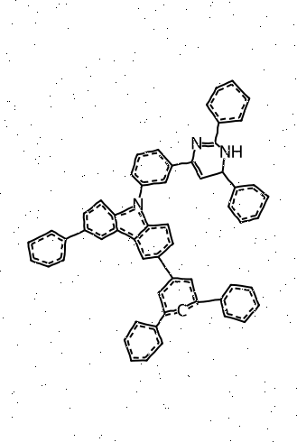 C1=C(c2cccc(-n3c4ccc(-c5ccccc5)cc4c4cc(-c5cc(-c6ccccc6)cc(-c6ccccc6)c5)ccc43)c2)N=C(c2ccccc2)NC1c1ccccc1